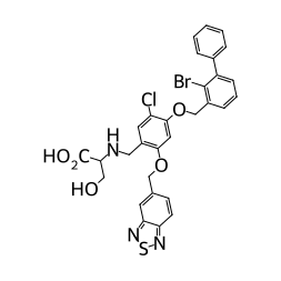 O=C(O)C(CO)NCc1cc(Cl)c(OCc2cccc(-c3ccccc3)c2Br)cc1OCc1ccc2nsnc2c1